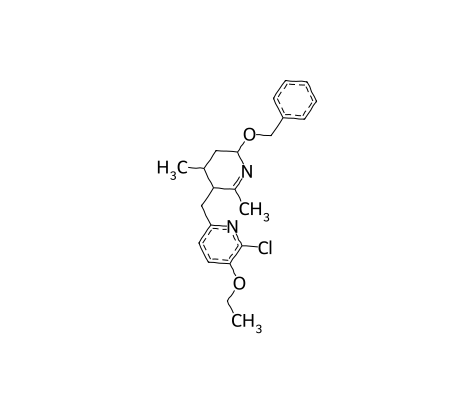 CCOc1ccc(CC2C(C)=NC(OCc3ccccc3)CC2C)nc1Cl